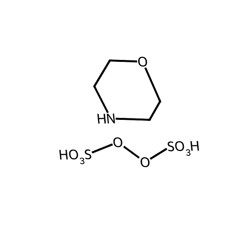 C1COCCN1.O=S(=O)(O)OOS(=O)(=O)O